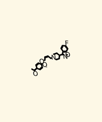 COC1(OC/C=C\CN2CCC(c3noc4cc(F)ccc34)CC2)C=CC(C(C)=O)C=C1